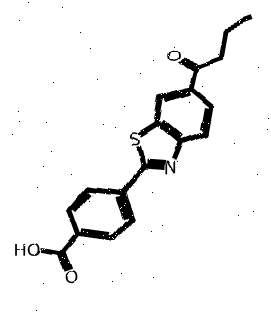 CCCC(=O)c1ccc2nc(-c3ccc(C(=O)O)cc3)sc2c1